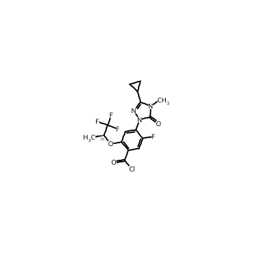 C[C@H](Oc1cc(-n2nc(C3CC3)n(C)c2=O)c(F)cc1C(=O)Cl)C(F)(F)F